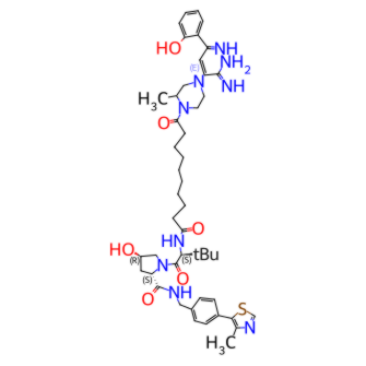 Cc1ncsc1-c1ccc(CNC(=O)[C@@H]2C[C@@H](O)CN2C(=O)[C@@H](NC(=O)CCCCCCCCC(=O)N2CCN(/C(=C/C(=N)c3ccccc3O)C(=N)N)CC2C)C(C)(C)C)cc1